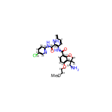 C=C/C=C\C(NC(=O)c1ccc(OCCOC)c2c1OCC2(C)CN)=C(/N)C(=O)Nc1ccc(Cl)cn1